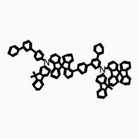 CC1(C)c2ccccc2-c2ccc(N(c3cc(-c4ccccc4)cc(-c4ccc(-c5cccc6c5-c5ccccc5C65c6ccccc6-c6c(N(c7ccc(-c8cccc(-c9ccccc9)c8)cc7)c7ccc8c(c7)C(C)(C)c7ccccc7-8)cccc65)cc4)c3)c3cccc4c3-c3ccccc3C43c4ccccc4-c4ccccc43)cc21